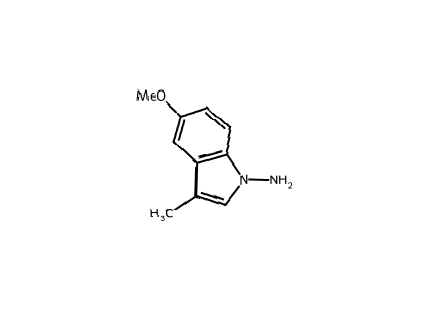 COc1ccc2c(c1)c(C)cn2N